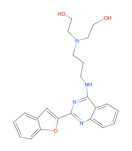 OCCN(CCO)CCCNc1nc(-c2cc3ccccc3o2)nc2ccccc12